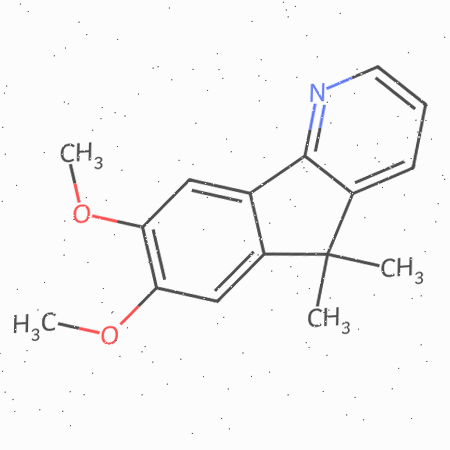 COc1cc2c(cc1OC)C(C)(C)c1cccnc1-2